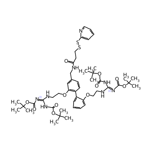 CC(C)(C)OC(=O)/N=C(/NCCOc1ccccc1-c1ccc(CNC(=O)CCSSc2ccccn2)cc1OCCN/C(=N/C(=O)OC(C)(C)C)NC(=O)OC(C)(C)C)NC(=O)OC(C)(C)C